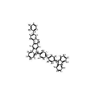 c1ccc(-c2ccc3c(c2)sc2cc4c(cc23)c2ccccc2n4-c2ccc(-c3ccc(-n4c5ccccc5c5ccccc54)cc3)cc2)cc1